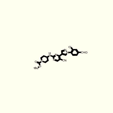 CC(C)(C)OC(=O)N1CCC(Nc2ncc(C#N)c(-c3cnn(-c4ccc(C=O)cc4Cl)c3)n2)CC1